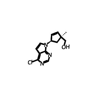 C[C@@]1(CO)C=C[C@H](n2ccc3c(Cl)ncnc32)C1